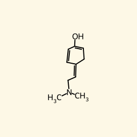 CN(C)CC=C1C=CC(O)=CC1